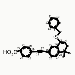 CC1(C)CC=C(SCc2ccccc2)c2cc(C#Cc3ccc(C(=O)O)cc3)ccc21